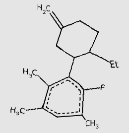 C=C1CCC(CC)C(c2c(C)c(C)cc(C)c2F)C1